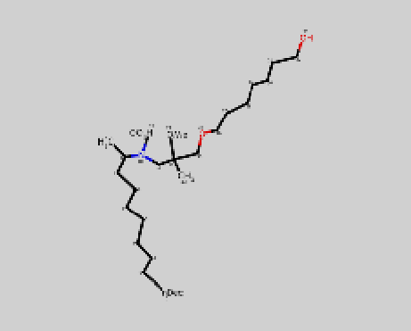 CCCCCCCCCCCCCCCCCC(C)N(CC(C)(COCCCCCCCO)OC)C(=O)O